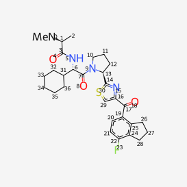 CN[C@@H](C)C(=O)N[C@H](C(=O)N1CCC[C@H]1c1nc(C(=O)c2ccc(F)c3c2CCC3)cs1)C1CCCCC1